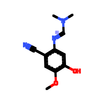 COc1cc(C#N)c(/N=C/N(C)C)cc1O